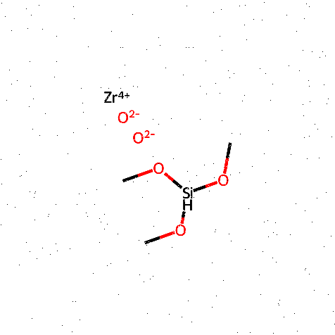 CO[SiH](OC)OC.[O-2].[O-2].[Zr+4]